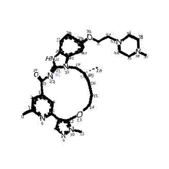 Cc1cc2cc(n1)-c1cnn(C)c1OCCC[C@@H](C)CN1/C(=N/C2=O)Nc2ccc(OCCN3CCN(C)CC3)cc21